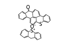 O=c1c2ccccc2c2ccc3sc4ccccc4c4ccc1c2c34.[O-][S+]1c2ccccc2Cc2ccccc21